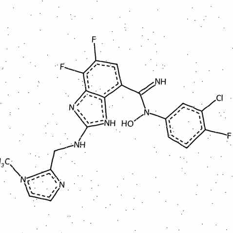 Cn1ccnc1CNc1nc2c(F)c(F)cc(C(=N)N(O)c3ccc(F)c(Cl)c3)c2[nH]1